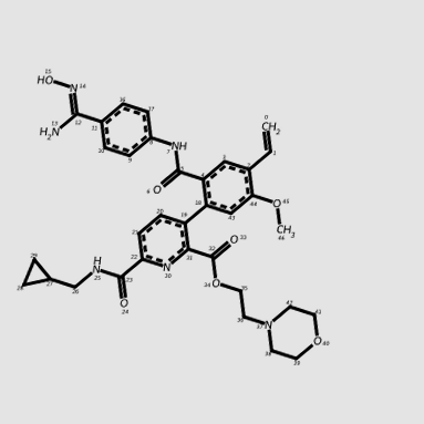 C=Cc1cc(C(=O)Nc2ccc(/C(N)=N/O)cc2)c(-c2ccc(C(=O)NCC3CC3)nc2C(=O)OCCN2CCOCC2)cc1OC